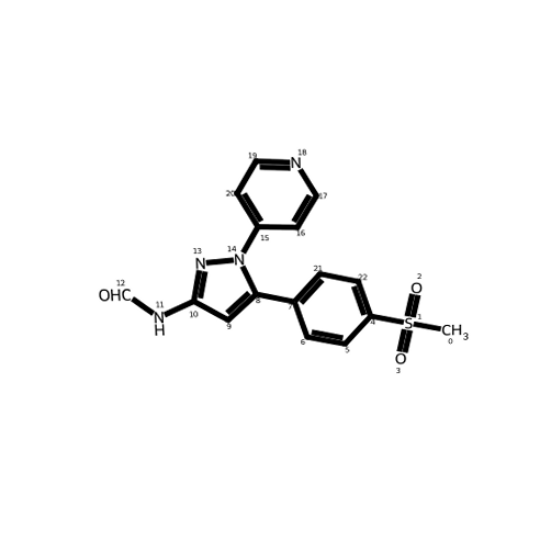 CS(=O)(=O)c1ccc(-c2cc(NC=O)nn2-c2ccncc2)cc1